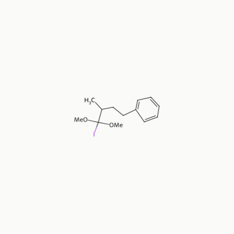 COC(I)(OC)C(C)CCc1ccccc1